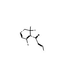 C/C=C/C(=O)C1=C(C)C=CCC1(C)CC